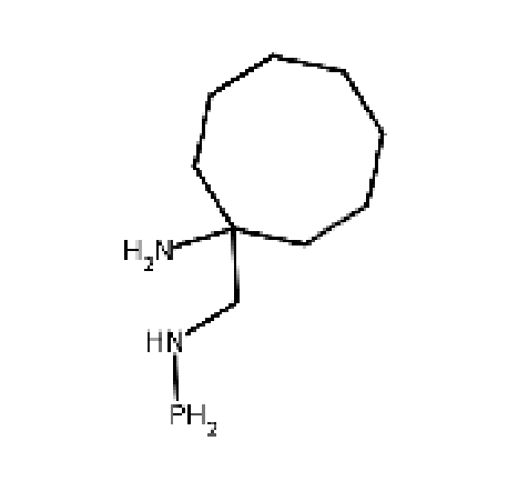 NC1(CNP)CCCCCCC1